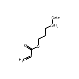 C=CC(=O)OCCC[SiH2]OC